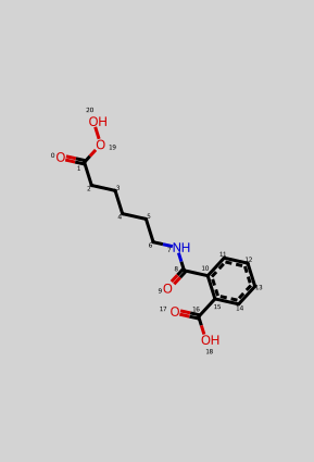 O=C(CCCCCNC(=O)c1ccccc1C(=O)O)OO